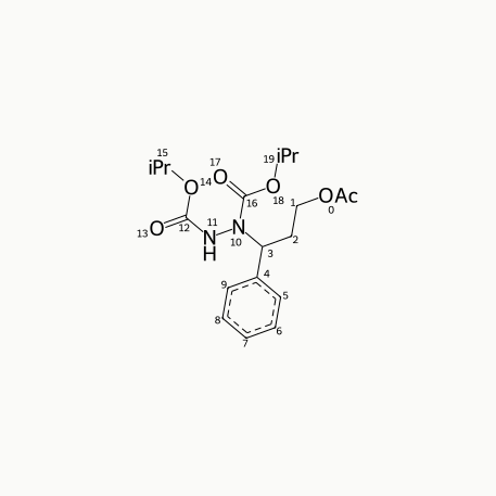 CC(=O)OCCC(c1ccccc1)N(NC(=O)OC(C)C)C(=O)OC(C)C